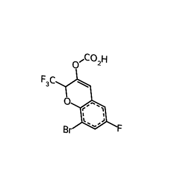 O=C(O)OC1=Cc2cc(F)cc(Br)c2OC1C(F)(F)F